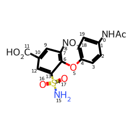 CC(=O)Nc1ccc(Oc2c([N+](=O)[O-])cc(C(=O)O)cc2S(N)(=O)=O)cc1